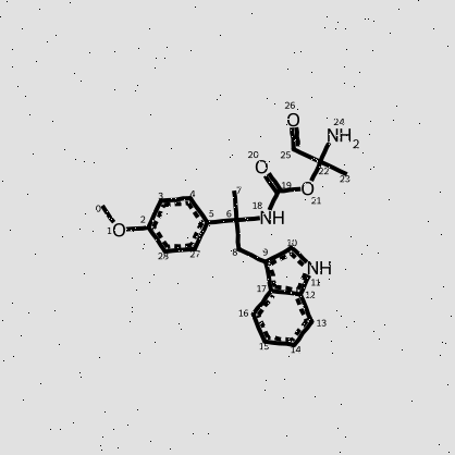 COc1ccc(C(C)(Cc2c[nH]c3ccccc23)NC(=O)OC(C)(N)C=O)cc1